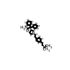 CN(C)CCc1ccc(CCN2CC[C@@H](C(C(N)=O)(c3ccccc3)c3ccccc3)C2)cc1